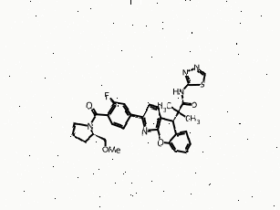 COC[C@H]1CCCN1C(=O)c1ccc(-c2ccc3c(n2)Oc2ccccc2[C@@H]3C(C)(C)C(=O)Nc2nncs2)cc1F